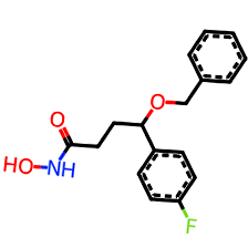 O=C(CCC(OCc1ccccc1)c1ccc(F)cc1)NO